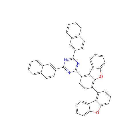 C1=Cc2cc(-c3nc(-c4ccc5ccccc5c4)nc(-c4ccc(-c5cccc6oc7ccccc7c56)c5oc6ccccc6c45)n3)ccc2CC1